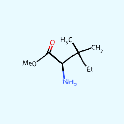 CCC(C)(C)C(N)C(=O)OC